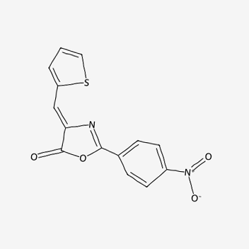 O=C1OC(c2ccc([N+](=O)[O-])cc2)=NC1=Cc1cccs1